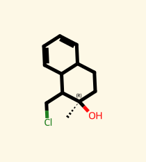 C[C@@]1(O)CCC2C=CC=CC2C1CCl